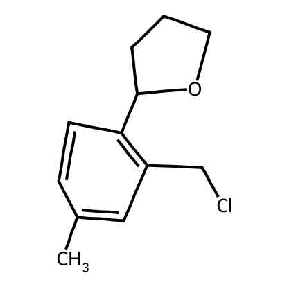 Cc1ccc(C2CCCO2)c(CCl)c1